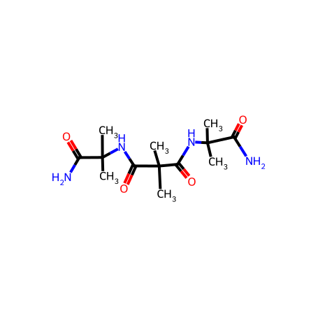 CC(C)(NC(=O)C(C)(C)C(=O)NC(C)(C)C(N)=O)C(N)=O